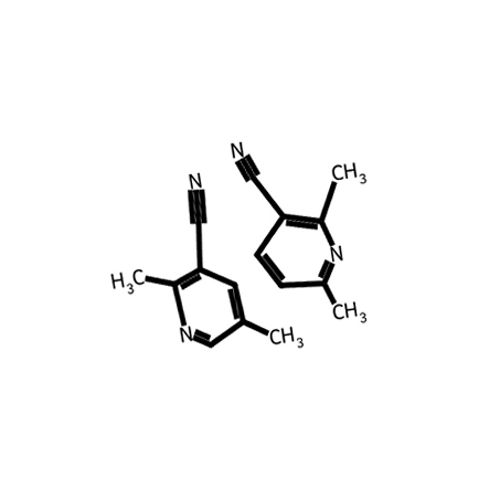 Cc1ccc(C#N)c(C)n1.Cc1cnc(C)c(C#N)c1